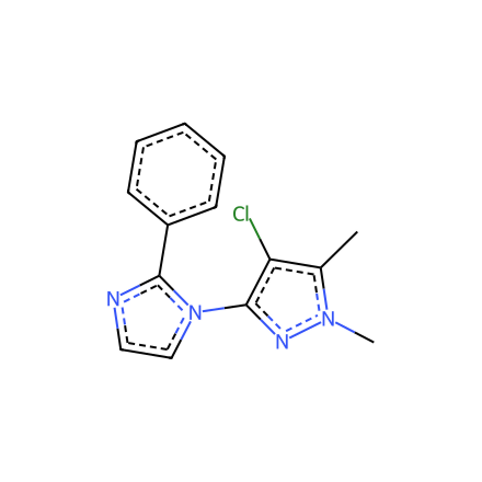 Cc1c(Cl)c(-n2ccnc2-c2ccccc2)nn1C